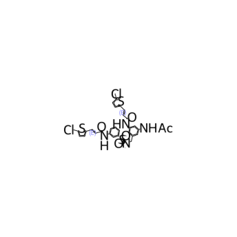 CC(=O)Nc1cc(CN(C)S(=O)(=O)c2cccc(NC(=O)/C=C/c3ccc(Cl)s3)c2)cc(NC(=O)/C=C/c2ccc(Cl)s2)c1